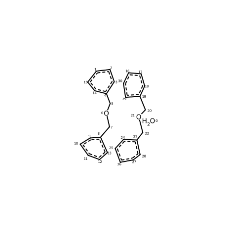 O.c1ccc(COCc2ccccc2)cc1.c1ccc(COCc2ccccc2)cc1